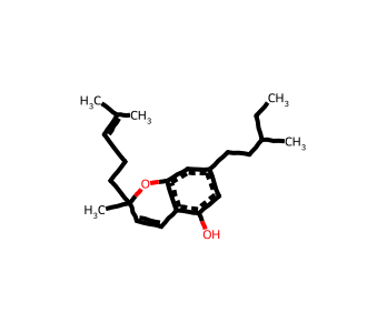 CCC(C)CCc1cc(O)c2c(c1)OC(C)(CCC=C(C)C)C=C2